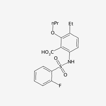 CCCOc1c(CC)ccc(NS(=O)(=O)c2ccccc2F)c1C(=O)O